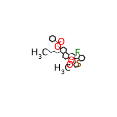 CCCCCc1c(OC(=O)c2ccccc2)ccc2c3c(ccc12)OC(c1ccccc1F)(c1sccc1OC)C=C3